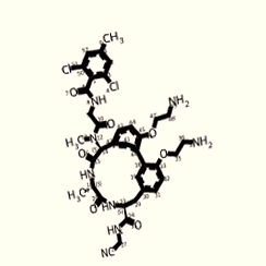 Cc1cc(Cl)c(C(=O)NCC(=O)N(C)[C@@H]2C(=O)N[C@@H](C)C(=O)N[C@H](C(=O)NCC#N)Cc3ccc(OCCN)c(c3)-c3cc2ccc3OCCN)c(Cl)c1